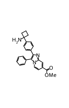 COC(=O)c1ccn2c(-c3ccccc3)c(-c3ccc(C4(N)CCC4)cc3)nc2c1